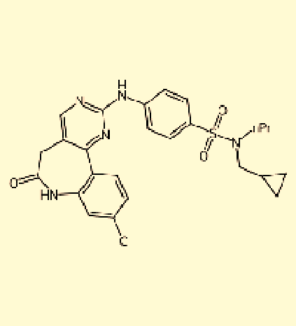 CCCN(CC1CC1)S(=O)(=O)c1ccc(Nc2ncc3c(n2)-c2ccc(Cl)cc2NC(=O)C3)cc1